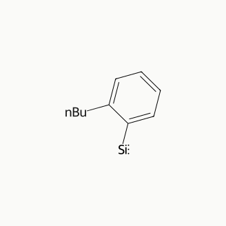 CCCCc1ccccc1[Si]